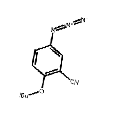 CCC(C)Oc1ccc(N=[N+]=[N-])cc1C#N